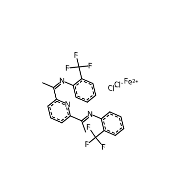 CC(=Nc1ccccc1C(F)(F)F)c1cccc(C(C)=Nc2ccccc2C(F)(F)F)n1.[Cl-].[Cl-].[Fe+2]